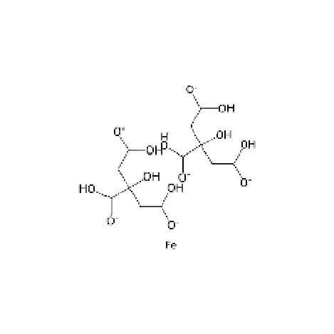 [Fe].[O-]C(O)CC(O)(CC([O-])O)C([O-])O.[O-]C(O)CC(O)(CC([O-])O)C([O-])O